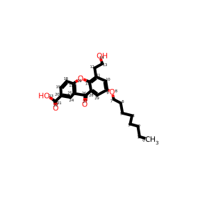 CCCCCCCCOc1cc(CCO)c2oc3ccc(C(=O)O)cc3c(=O)c2c1